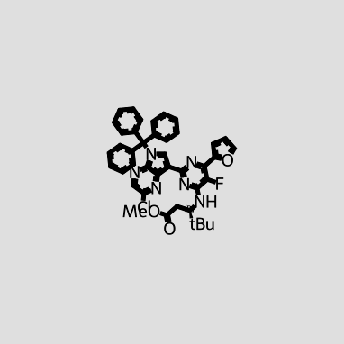 COC(=O)C[C@@H](Nc1nc(-c2cn(C(c3ccccc3)(c3ccccc3)c3ccccc3)c3ncc(Cl)nc23)nc(-c2ccco2)c1F)C(C)(C)C